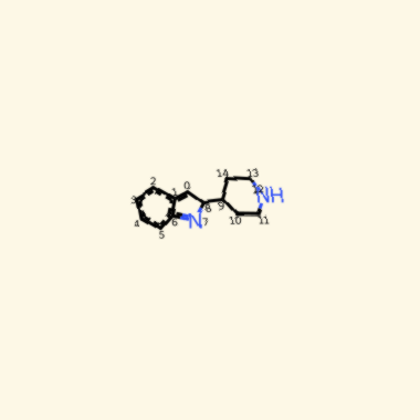 C1=c2ccccc2=NC1C1CCNCC1